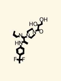 C=C(Nc1ccc(C(C)(F)F)cc1)/C(=N\C=C/C)N1CCN(C(=O)C(O)CO)CC1